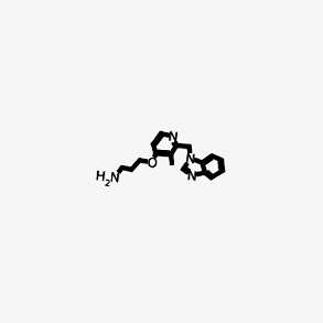 Cc1c(OCCCN)ccnc1Cn1cnc2ccccc21